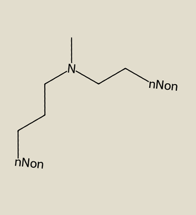 CCCCCCCCCCCCN(C)CCCCCCCCCCC